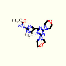 CC(=O)Nc1ncc(-c2nc(N3CCOCC3)nc(N3CCOCC3)n2)c(C)n1